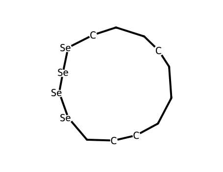 C1CCCCC[Se][Se][Se][Se]CCCC1